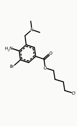 CN(C)Cc1cc(C(=O)OCCCCCl)cc(Br)c1N